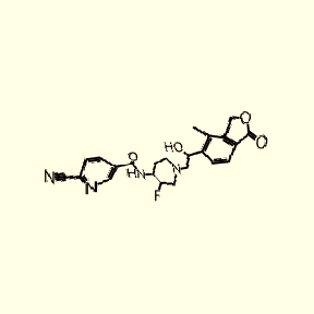 Cc1c(C(O)CN2CCC(NC(=O)c3ccc(C#N)nc3)C(F)C2)ccc2c1COC2=O